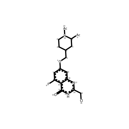 CC(=O)C1CC(COc2cc(F)c3c(=O)[nH]c(CCl)nc3c2)CCN1C(C)=O